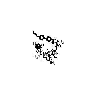 CCCCc1ccc(-c2ccc(C(=O)N[C@H](N)C(=O)NCC(=O)N(C)[C@H](C(=O)N[C@@H](C)C(=O)N[C@@H](CC(N)=O)C(=O)N[C@@H](N)B3OC4C[C@@H]5C[C@@H](C5(C)C)[C@]4(C)O3)C(C)O)cc2)cc1